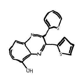 Oc1cccc2nc(-c3cccs3)c(-c3cccs3)nc12